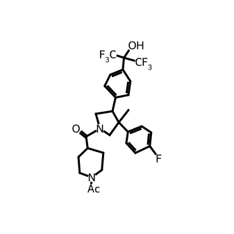 CC(=O)N1CCC(C(=O)N2CC(c3ccc(C(O)(C(F)(F)F)C(F)(F)F)cc3)C(C)(c3ccc(F)cc3)C2)CC1